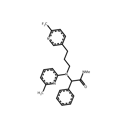 CNC(=O)C(c1ccccc1)N(CCCc1ccc(C(F)(F)F)nc1)c1cccc(C)n1